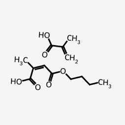 C=C(C)C(=O)O.CCCCOC(=O)C=C(C)C(=O)O